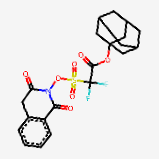 O=C1Cc2ccccc2C(=O)N1OS(=O)(=O)C(F)(F)C(=O)OC12CC3CC(CC(C3)C1)C2